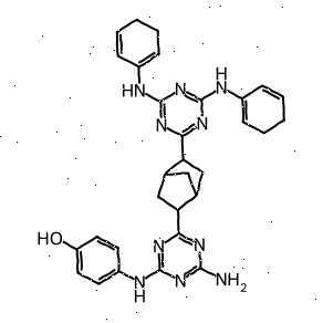 Nc1nc(Nc2ccc(O)cc2)nc(C2CC3CC2CC3c2nc(NC3=CCCC=C3)nc(NC3=CCCC=C3)n2)n1